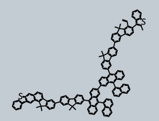 C=Cc1c(-c2c(C)sc3ccccc23)ccc2c1C(C)(C)c1ccc(-c3ccc4c(c3)C(C)(C)c3ccc(-c5c6ccccc6c(-c6cccc7ccccc67)c6cc(-c7ccc8c(-c9ccc%10c(c9)C(C)(C)c9cc(-c%11ccc%12c(c%11)-c%11ccc%13cc%14sc%15ccccc%15c%14cc%13c%11C%12(C)C)ccc9-%10)c9ccccc9c(-c9cccc%10ccccc9%10)c8c7)ccc56)cc3-4)cc1-2